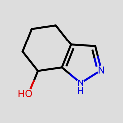 OC1CCCc2cn[nH]c21